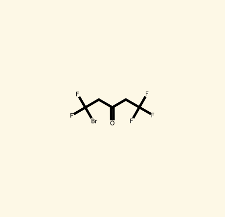 O=C(CC(F)(F)F)CC(F)(F)Br